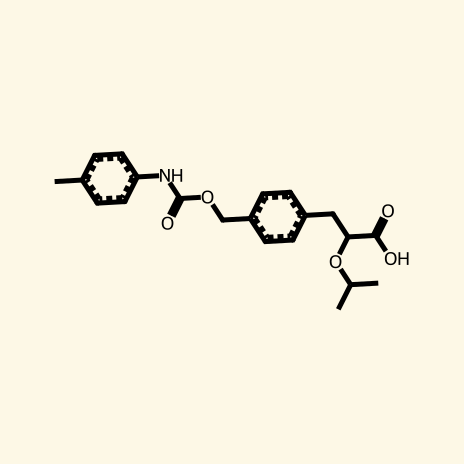 Cc1ccc(NC(=O)OCc2ccc(CC(OC(C)C)C(=O)O)cc2)cc1